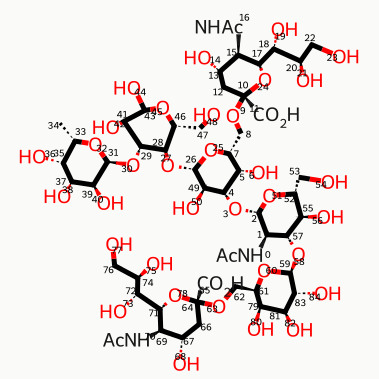 CC(=O)N[C@H]1[C@H](O[C@H]2[C@@H](O)[C@@H](CO[C@]3(C(=O)O)C[C@H](O)[C@@H](NC(C)=O)[C@H]([C@H](O)[C@H](O)CO)O3)O[C@@H](O[C@H]3[C@H](O[C@@H]4O[C@@H](C)[C@@H](O)[C@@H](O)[C@@H]4O)[C@@H](O)C(O)O[C@@H]3CO)[C@@H]2O)O[C@H](CO)[C@@H](O)[C@@H]1O[C@@H]1O[C@H](CO[C@]2(C(=O)O)C[C@H](O)[C@@H](NC(C)=O)[C@H]([C@H](O)[C@H](O)CO)O2)[C@H](O)[C@H](O)[C@H]1O